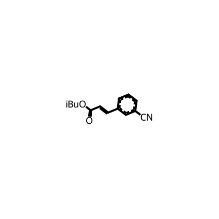 CC(C)COC(=O)C=Cc1cccc(C#N)c1